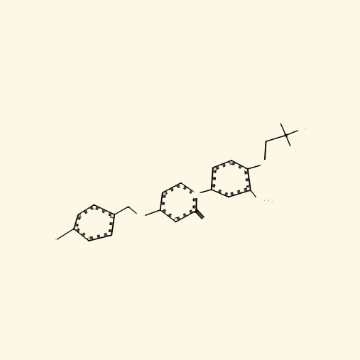 COc1cc(-n2ccc(OCc3ccc(Cl)cc3)cc2=O)ccc1OCC(C)(C)O